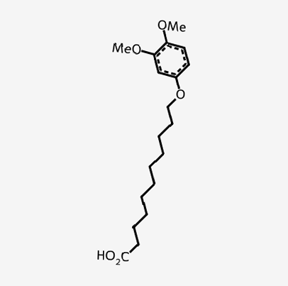 COc1ccc(OCCCCCCCCCCC(=O)O)cc1OC